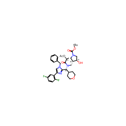 CC(=O)O[C@@H](C)C(=O)N(C[C@@H]1CN(C(=O)OC(C)(C)C)C[C@H]1O)[C@@H](c1nc(-c2cc(F)ccc2F)cn1Cc1ccccc1)C1CCOCC1